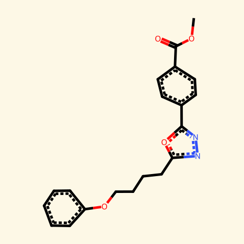 COC(=O)c1ccc(-c2nnc(CCCCOc3ccccc3)o2)cc1